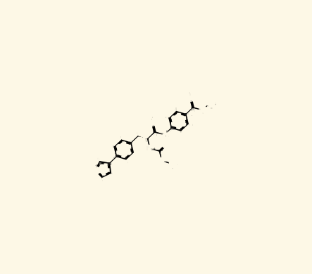 CC(C)(C)OC(=O)N[C@@H](Cc1ccc(-c2ccoc2)cc1)C(=O)Nc1ccc(C(=O)OC(C)(C)C)cc1